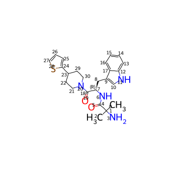 CC(C)(N)C(=O)N[C@H](Cc1c[nH]c2ccccc12)C(=O)N1CCC(c2cccs2)CC1